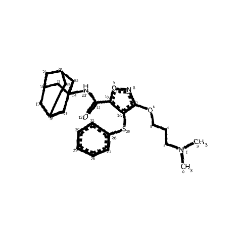 CN(C)CCCOc1noc(C(=O)NC23CC4CC(CC(C4)C2)C3)c1Sc1ccccc1